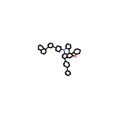 c1ccc(-c2ccc(-c3ccc(N(c4ccc(-c5cccc(-c6cccc7ccccc67)c5)cc4)c4ccccc4-c4cccc5oc6ccccc6c45)cc3)cc2)cc1